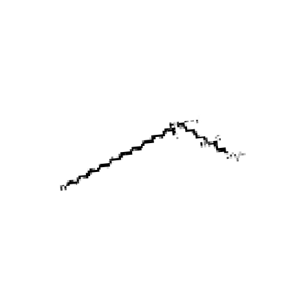 CCC=CCC=CCC=CCC=CCC=CCC=CCCC(=O)N[C@@H](CCCCNC(=O)C=CC(=O)OCC)C(=O)O